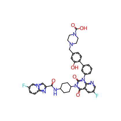 O=C(NC1CCC(n2c(=O)c3cc(F)cnc3n(-c3cccc(-c4ccc(CN5CCN(C(=O)O)CC5)cc4O)c3)c2=O)CC1)c1cn2cc(F)ccc2n1